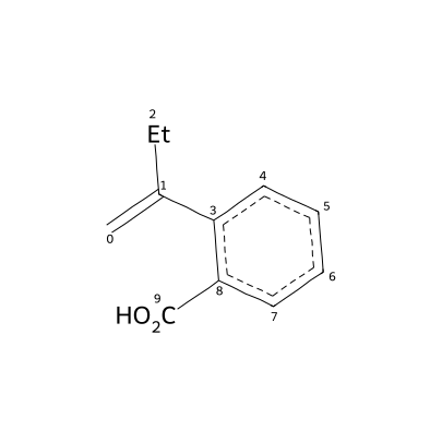 C=C(CC)c1ccccc1C(=O)O